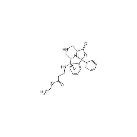 CCOC(=O)CCNC(=O)C1CNCC2C(=O)OC(c3ccccc3)(c3ccccc3)N12